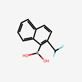 OB(O)c1c(C(F)F)ccc2ccccc12